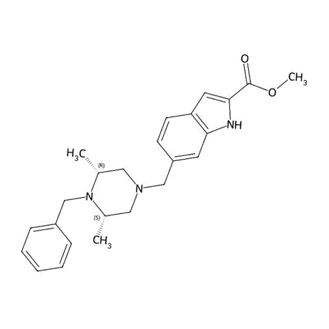 COC(=O)c1cc2ccc(CN3C[C@@H](C)N(Cc4ccccc4)[C@@H](C)C3)cc2[nH]1